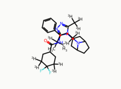 [2H]C([2H])([2H])c1nnc(C([2H])(C)C)n1C1CC2CCC(C1)N2C([2H])([2H])CC(NC(=O)C1CC([2H])([2H])C(F)(F)C([2H])([2H])C1)c1ccccc1